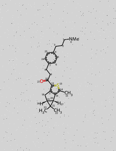 CNCCCc1ccc(CCC(=O)c2sc(C)c3c2C[C@@H]2[C@H]3C2(C)C)cc1